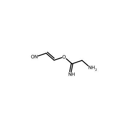 N=C(CN)O/C=C/N=O